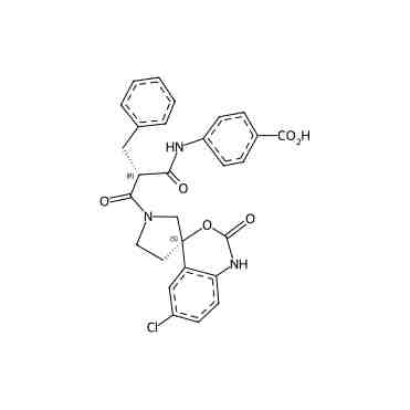 O=C1Nc2ccc(Cl)cc2[C@]2(CCN(C(=O)[C@H](Cc3ccccc3)C(=O)Nc3ccc(C(=O)O)cc3)C2)O1